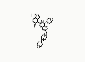 Fc1ccc2[nH]ccc2c1-c1nc(N2CCOCC2)c2sc(CN3CCN(C4CCOCC4)CC3)cc2n1